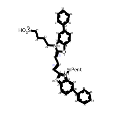 CCCCC[n+]1c(/C=C/C=C2\Oc3ccc(-c4ccccc4)cc3N2CCCCS(=O)(=O)O)sc2ccc(-c3ccccc3)cc21